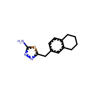 Nc1nnc(Cc2ccc3c(c2)CCCC3)s1